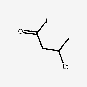 CCC(C)CC(=O)I